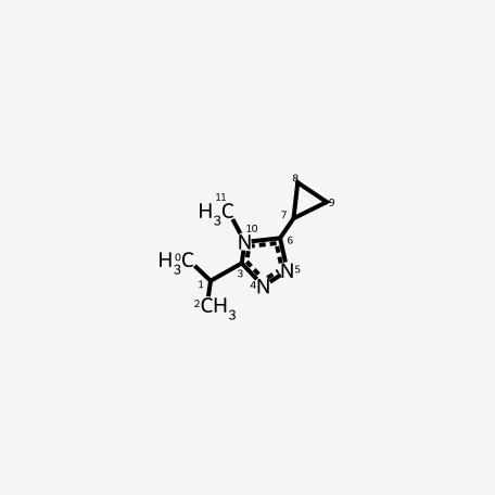 CC(C)c1nnc(C2CC2)n1C